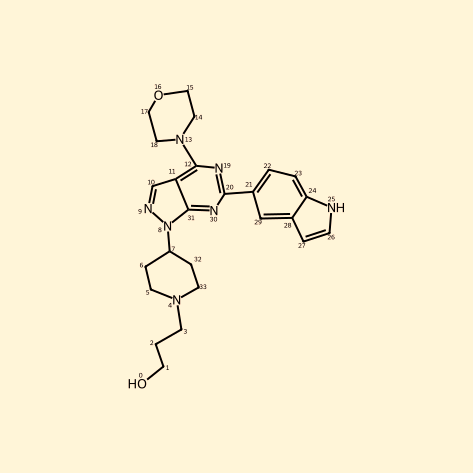 OCCCN1CCC(n2ncc3c(N4CCOCC4)nc(-c4ccc5[nH]ccc5c4)nc32)CC1